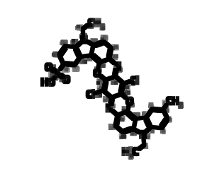 CCn1c2ccc(C)cc2c2c3c(ccc21)N=c1c(Cl)c2c(c(Cl)c1O3)=Nc1ccc3c(c1O2)c1cc(S(=O)(=O)O)ccc1n3CC